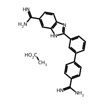 CC(=O)O.N=C(N)c1ccc(-c2cccc(-c3nc4ccc(C(=N)N)cc4[nH]3)c2)cc1